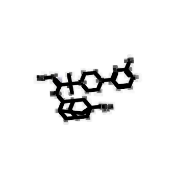 CC(C)(/C(=N/C#N)NC1C2CC3CC1CC(C(=O)O)(C3)C2)N1CCN(c2ccnc(Cl)n2)CC1